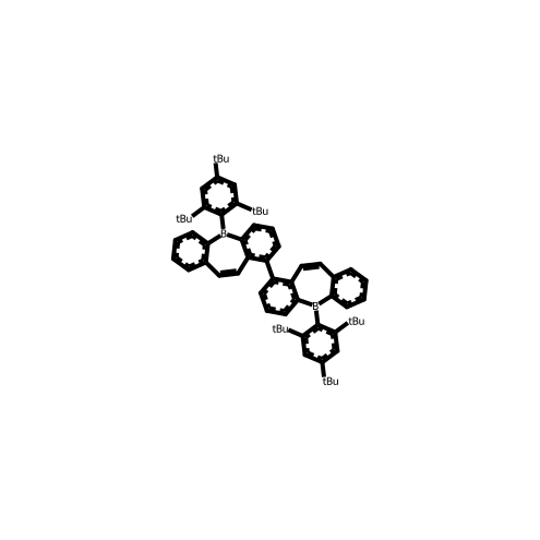 CC(C)(C)c1cc(C(C)(C)C)c(B2c3ccccc3C=Cc3c2cccc3-c2cccc3c2C=Cc2ccccc2B3c2c(C(C)(C)C)cc(C(C)(C)C)cc2C(C)(C)C)c(C(C)(C)C)c1